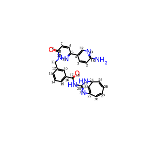 Nc1ccc(-c2ccc(=O)n(Cc3cccc(C(=O)NC4=NC5=CC(C=CC=C5)N4)c3)n2)cn1